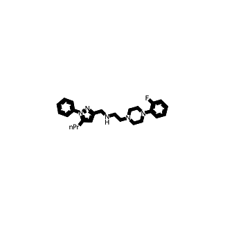 CCCc1cc(CNCCN2CCN(c3ccccc3F)CC2)nn1-c1ccccc1